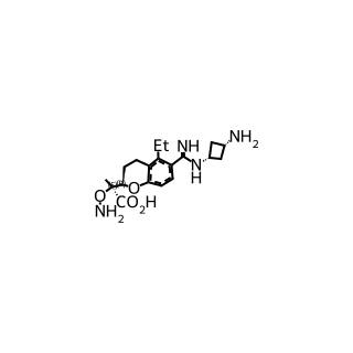 CCc1c(C(=N)N[C@H]2C[C@@H](N)C2)ccc2c1CC[C@H]([C@](C)(ON)C(=O)O)O2